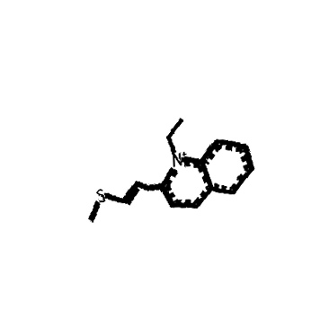 CC[n+]1c(/C=C/SC)ccc2ccccc21